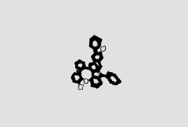 CC12CC=CC(Cl)=C1Oc1cccc([C@@H](CCc3ccc4c(c3)oc3ccccc34)c3ccccc3)c1-c1ccccc1-c1ccccc12